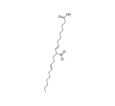 CCCCCCC=CCCC(/C=C/CCCCCCC(=O)O)[N+](=O)[O-]